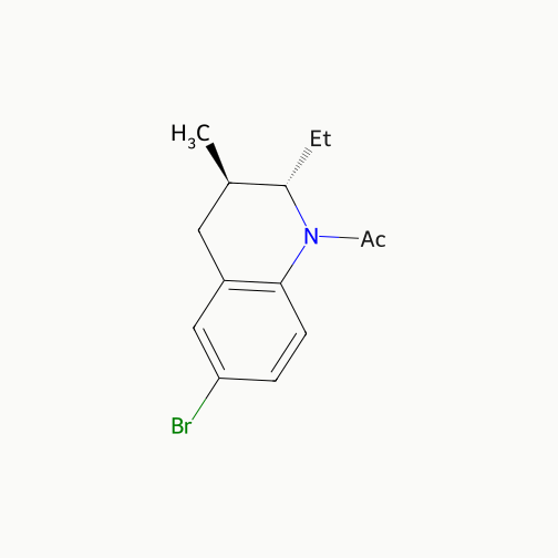 CC[C@H]1[C@H](C)Cc2cc(Br)ccc2N1C(C)=O